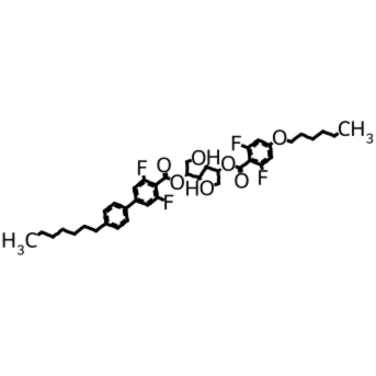 CCCCCCCc1ccc(-c2cc(F)c(C(=O)O[C@@H]3CO[C@@H]4[C@H]3OC[C@@H]4OC(=O)c3c(F)cc(OCCCCCC)cc3F)c(F)c2)cc1